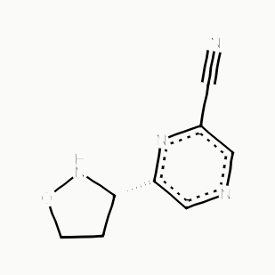 N#Cc1cncc([C@@H]2CCON2)n1